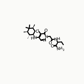 CCC(NC(=O)Cn1ncc(N[C@@H]2C[C@H](C)C(C)(C)[C@H](C)[C@H]2C)c(Cl)c1=O)C(N)=O